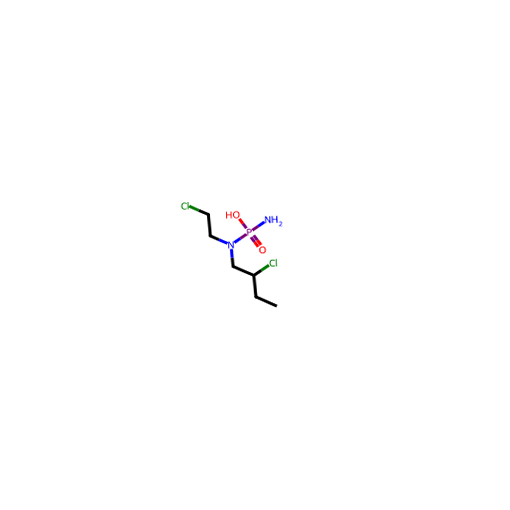 CCC(Cl)CN(CCCl)P(N)(=O)O